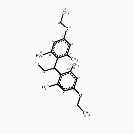 CCOc1cc(C)c(C(CI)c2c(C)cc(OCC)cc2C)c(C)c1